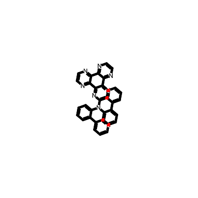 c1cncc(-c2ccccc2N(c2cnc3c4nccnc4c4nccnc4c3n2)c2ccccc2-c2cccnc2)c1